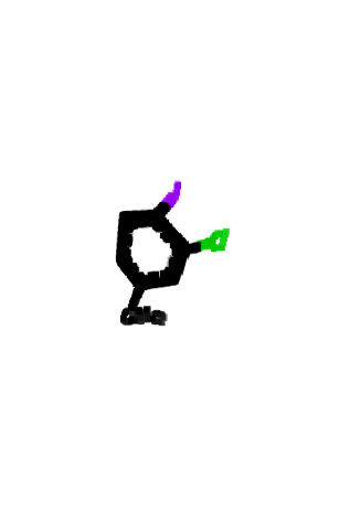 COc1ccc(I)c(Cl)c1